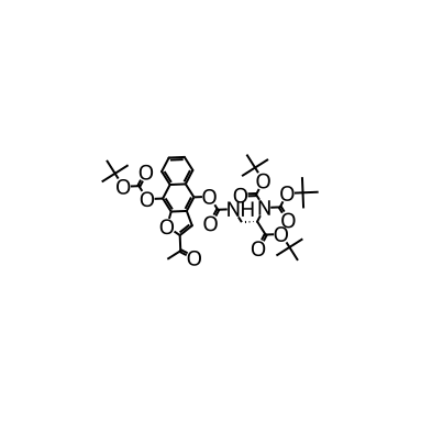 CC(=O)c1cc2c(OC(=O)NC[C@@H](C(=O)OC(C)(C)C)N(C(=O)OC(C)(C)C)C(=O)OC(C)(C)C)c3ccccc3c(OC(=O)OC(C)(C)C)c2o1